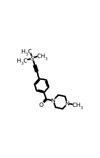 CN1CCN(C(=O)c2ccc(C#CS(C)(C)C)cc2)CC1